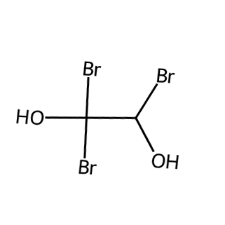 OC(Br)C(O)(Br)Br